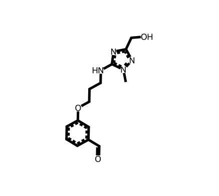 Cn1nc(CO)nc1NCCCOc1cccc(C=O)c1